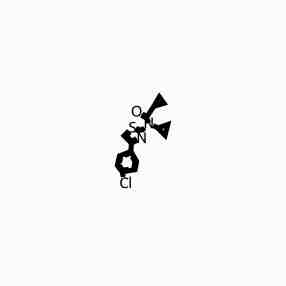 O=C(C1CC1)N(c1nc(-c2ccc(Cl)cc2)cs1)C1CC1